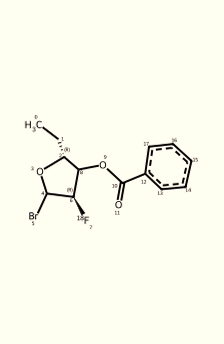 CC[C@H]1OC(Br)[C@H]([18F])C1OC(=O)c1ccccc1